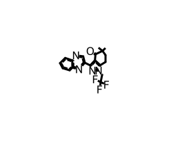 CC1(C)CCc2c(c(-c3cnc4ccccc4n3)nn2CC(F)(F)F)C1=O